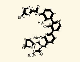 COc1nc(-c2ccnc(-c3cccc(NC(=O)c4nc(Br)cs4)c3C)c2Cl)ccc1CN(C[C@@H]1CCC(=O)N1)C(=O)OC(C)(C)C